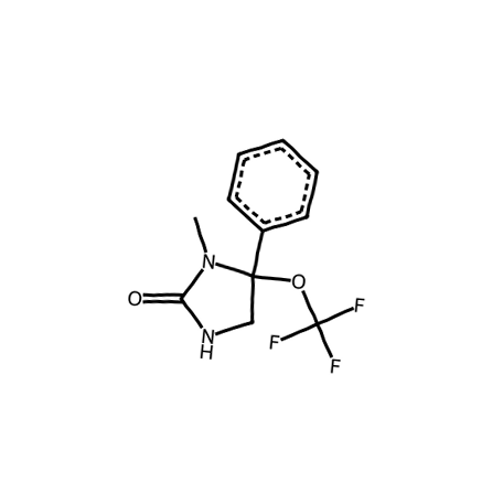 CN1C(=O)NCC1(OC(F)(F)F)c1ccccc1